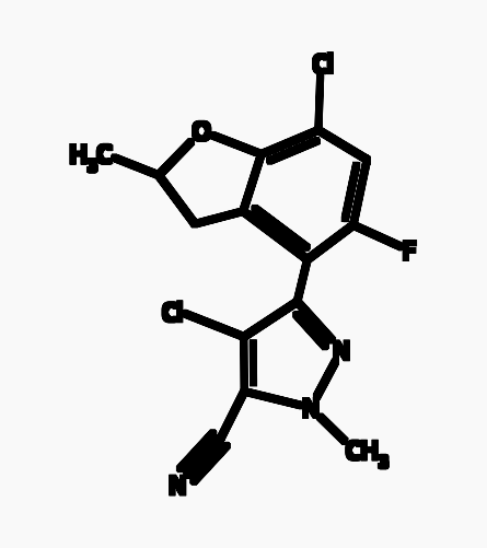 CC1Cc2c(c(Cl)cc(F)c2-c2nn(C)c(C#N)c2Cl)O1